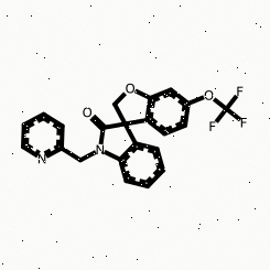 O=C1N(Cc2ccccn2)c2ccccc2C12COc1cc(OC(F)(F)F)ccc12